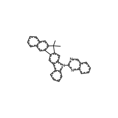 CC1(C)c2cc3ccccc3cc2-c2cc3c4ccccc4n(-c4ncc5ccccc5n4)c3cc21